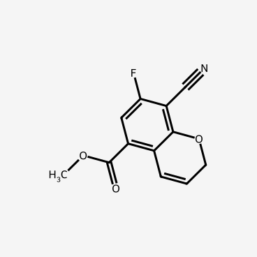 COC(=O)c1cc(F)c(C#N)c2c1C=CCO2